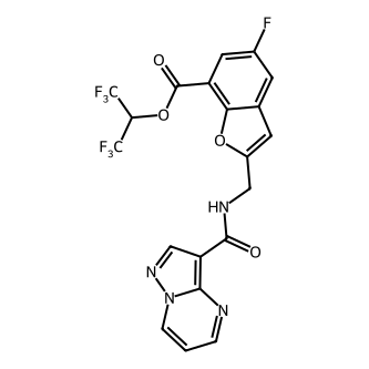 O=C(OC(C(F)(F)F)C(F)(F)F)c1cc(F)cc2cc(CNC(=O)c3cnn4cccnc34)oc12